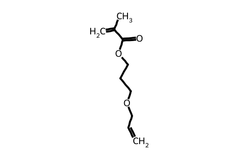 C=CCOCCCOC(=O)C(=C)C